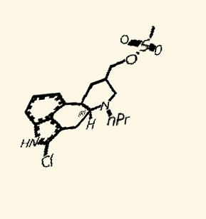 CCCN1CC(COS(C)(=O)=O)CC2c3cccc4[nH]c(Cl)c(c34)C[C@H]21